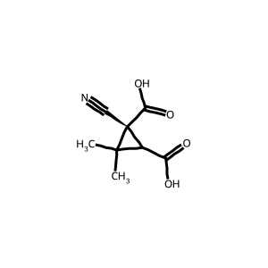 CC1(C)C(C(=O)O)[C@@]1(C#N)C(=O)O